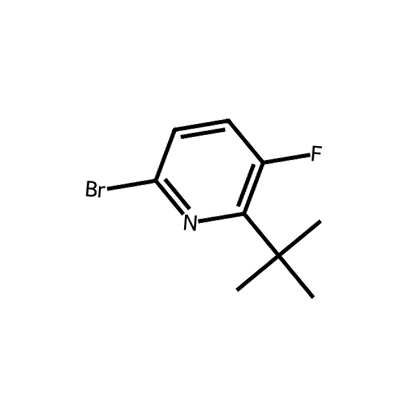 CC(C)(C)c1nc(Br)ccc1F